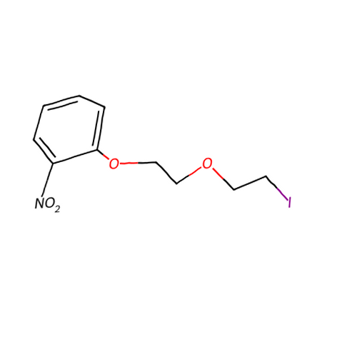 O=[N+]([O-])c1ccccc1OCCOCCI